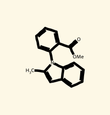 COC(=O)c1ccccc1-n1c(C)cc2ccccc21